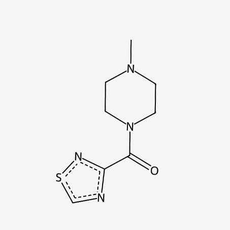 CN1CCN(C(=O)c2ncsn2)CC1